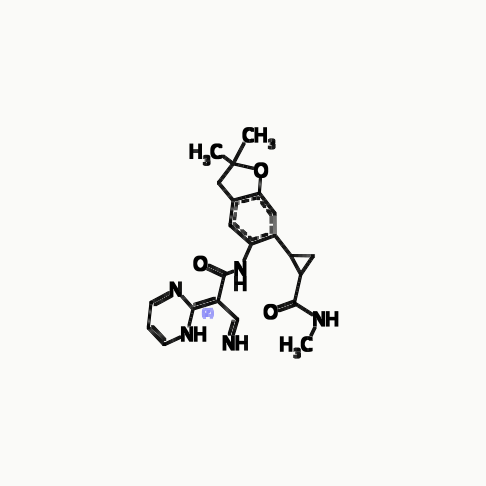 CNC(=O)C1CC1c1cc2c(cc1NC(=O)/C(C=N)=C1\N=CC=CN1)CC(C)(C)O2